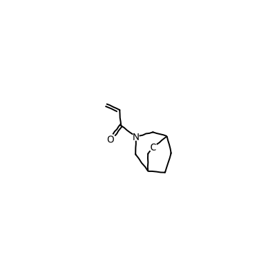 C=CC(=O)N1CC2CCC(CC2)C1